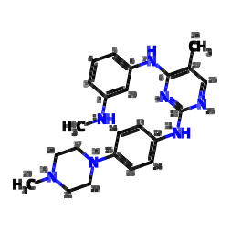 CNc1cccc(Nc2nc(Nc3ccc(N4CCN(C)CC4)cc3)ncc2C)c1